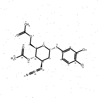 CC(=O)OC[C@H]1O[C@H](Sc2ccc(Cl)c(Cl)c2)C[C@@H](N=[N+]=[N-])[C@@H]1OC(C)=O